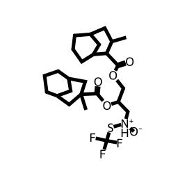 CC1CC2CCCC(C2)C1C(=O)OCC(C[NH+]([O-])SC(F)(F)F)OC(=O)C1(C)CC2CCCC(C2)C1